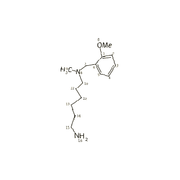 COc1ccccc1CN(C)CCCCCCN